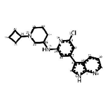 Clc1cc(-c2c[nH]c3ncccc23)cc(NC2CCCN(C3CCC3)C2)n1